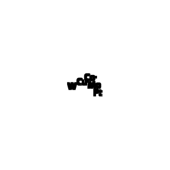 [Co].[Cu].[Mo].[Pt].[W]